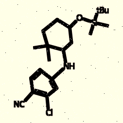 CC1(C)CCC(O[Si](C)(C)C(C)(C)C)CC1Nc1ccc(C#N)c(Cl)c1